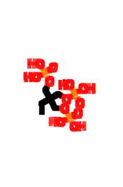 CCC(COP(=O)(O)O)(COP(=O)(O)O)COP(=O)(O)O